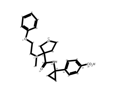 CN(CCOc1ccccc1)C1(C(=O)NC2(c3ccc(C(=O)O)cc3)CC2)CCOC1